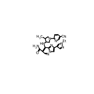 CCn1cc(-c2cn3ncc(C(N)=O)c(NC4CN(c5ccc(C#N)cn5)CC4C)c3n2)cn1